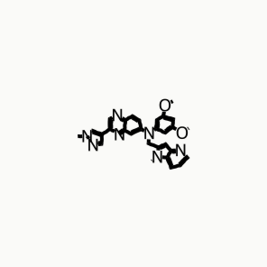 COc1cc(OC)cc(N(Cc2cc3ncccc3n2C)c2ccc3ncc(-c4cnn(C)c4)nc3c2)c1